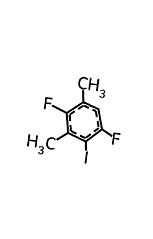 Cc1cc(F)c(I)c(C)c1F